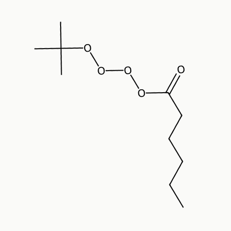 CCCCCC(=O)OOOOC(C)(C)C